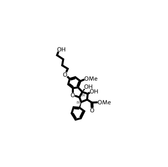 COC(=O)C1C(O)[C@@]2(O)c3c(OC)cc(OCCCCO)cc3OC2[C@@H]1c1ccccc1